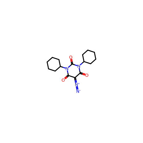 [N-]=[N+]=C1C(=O)N(C2CCCCC2)C(=O)N(C2CCCCC2)C1=O